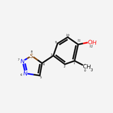 Cc1cc(-c2cnns2)ccc1O